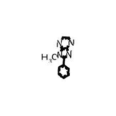 Cn1c(-c2ccccc2)nc2nccnc21